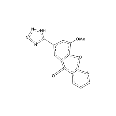 COc1cc(-c2nnn[nH]2)cc2c(=O)c3cccnc3oc12